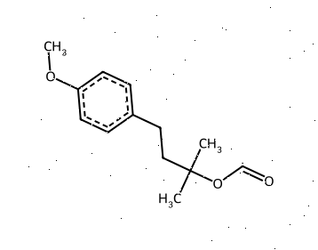 COc1ccc(CCC(C)(C)O[C]=O)cc1